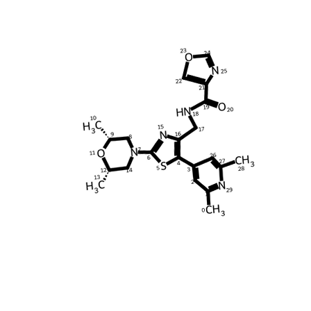 Cc1cc(-c2sc(N3C[C@@H](C)O[C@@H](C)C3)nc2CNC(=O)c2cocn2)cc(C)n1